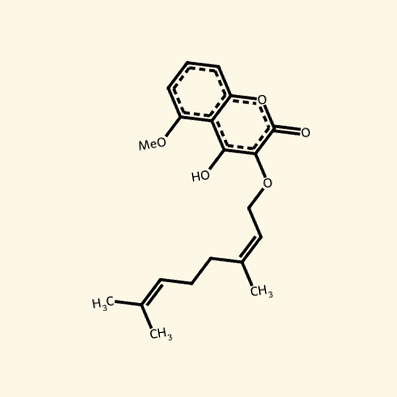 COc1cccc2oc(=O)c(OCC=C(C)CCC=C(C)C)c(O)c12